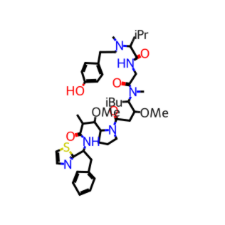 CCC(C)C(C(CC(=O)N1CCCC1C(OC)C(C)C(=O)NC(Cc1ccccc1)c1nccs1)OC)N(C)C(=O)CNC(=O)C(C(C)C)N(C)CCc1ccc(O)cc1